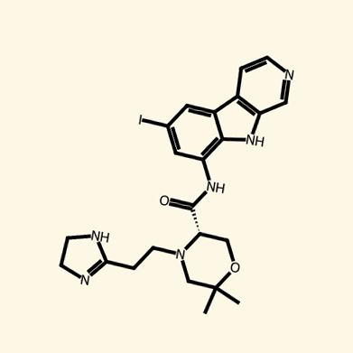 CC1(C)CN(CCC2=NCCN2)[C@H](C(=O)Nc2cc(I)cc3c2[nH]c2cnccc23)CO1